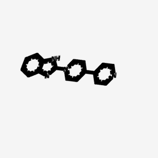 c1ccc2[nH]c(-[n+]3ccc(-c4ccncc4)cc3)nc2c1